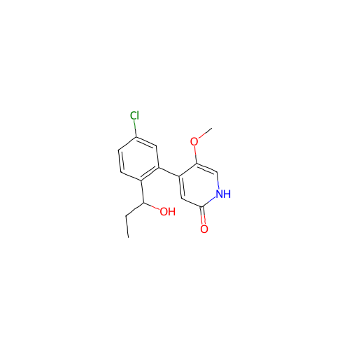 CCC(O)c1ccc(Cl)cc1-c1cc(=O)[nH]cc1OC